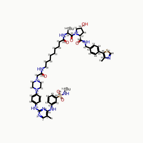 Cc1cnc(Nc2ccc(N3CCN(CC(=O)NCCCCCCCCC(=O)NC(C(=O)N4C[C@H](O)C[C@H]4C(=O)NCc4ccc(-c5scnc5C)cc4)C(C)(C)C)CC3)cc2)nc1Nc1cccc(S(=O)(=O)NC(C)(C)C)c1